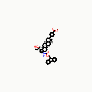 CCC(C)(O)[C@@H]1CC[C@]2(NC(=O)OCC3c4ccccc4-c4ccccc43)CC[C@]3(C)[C@H](CC[C@@H]4[C@@]5(C)CC=C(c6ccc(C(=O)OC)cc6)C(C)(C)[C@@H]5CC[C@]43C)[C@@H]12